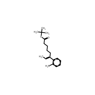 CC=C(CCCCC(=O)OC(C)(C)C)c1ccccc1N